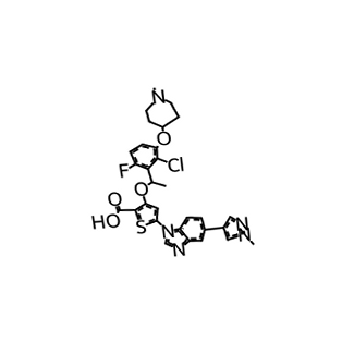 CC(Oc1cc(-n2cnc3cc(-c4cnn(C)c4)ccc32)sc1C(=O)O)c1c(F)ccc(OC2CCN(C)CC2)c1Cl